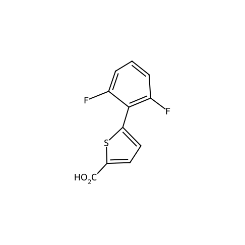 O=C(O)c1ccc(-c2c(F)cccc2F)s1